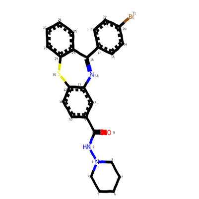 O=C(NN1CCCCC1)c1ccc2c(c1)N=C(c1ccc(Br)cc1)c1ccccc1S2